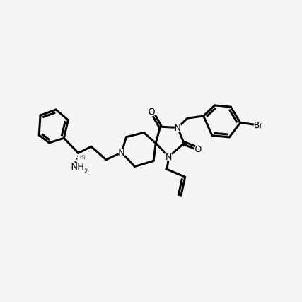 C=CCN1C(=O)N(Cc2ccc(Br)cc2)C(=O)C12CCN(CC[C@H](N)c1ccccc1)CC2